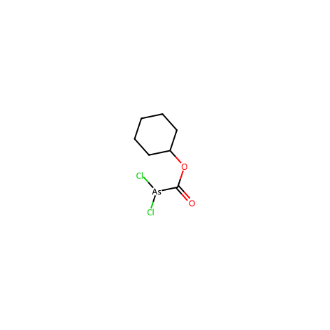 O=C(OC1CCCCC1)[As](Cl)Cl